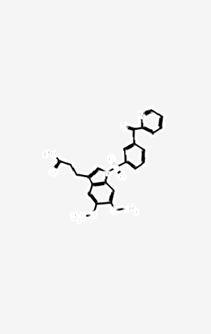 COc1cc2c(CCC(=O)O)cn(S(=O)(=O)c3cccc(C(=O)c4ccccn4)c3)c2cc1OC